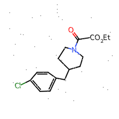 CCOC(=O)C(=O)N1CCC(Cc2ccc(Cl)cc2)CC1